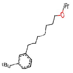 CC(C)OCCCCCCCc1cccc(C(C)(C)C)c1